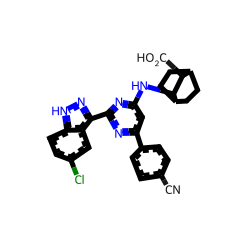 N#Cc1ccc(-c2cc(NC3C4CCC(CC4)C3C(=O)O)nc(-c3n[nH]c4ccc(Cl)cc34)n2)cc1